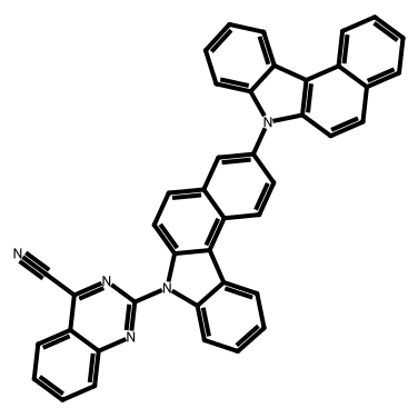 N#Cc1nc(-n2c3ccccc3c3c4ccc(-n5c6ccccc6c6c7ccccc7ccc65)cc4ccc32)nc2ccccc12